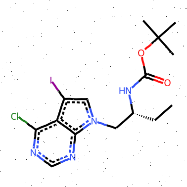 CC[C@H](Cn1cc(I)c2c(Cl)ncnc21)NC(=O)OC(C)(C)C